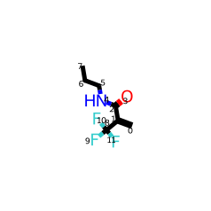 C=C(C(=O)NCCC)C(F)(F)F